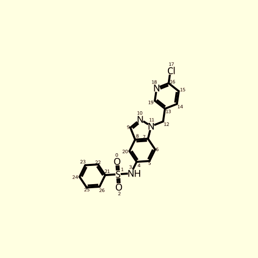 O=S(=O)(Nc1ccc2c(cnn2Cc2ccc(Cl)nc2)c1)c1ccccc1